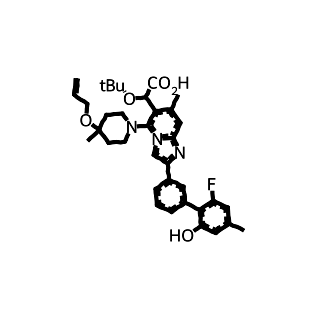 C=CCOC1(C)CCN(c2c(C(OC(C)(C)C)C(=O)O)c(C)cc3nc(-c4cccc(-c5c(O)cc(C)cc5F)c4)cn23)CC1